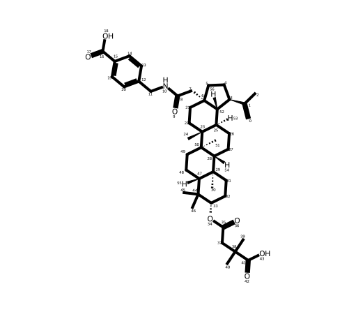 C=C(C)[C@@H]1CC[C@]2(CC(=O)NCc3ccc(C(=O)O)cc3)CC[C@]3(C)[C@H](CC[C@@H]4[C@@]5(C)CC[C@H](OC(=O)CC(C)(C)C(=O)O)C(C)(C)[C@@H]5CC[C@]43C)[C@@H]12